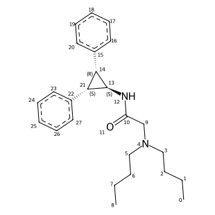 CCCCN(CCCC)CC(=O)N[C@@H]1[C@@H](c2ccccc2)[C@H]1c1ccccc1